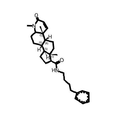 CN1C(=O)C=C[C@@]2(C)C1CC[C@@H]1[C@H]2CC[C@]2(C)C(C(=O)NCCCCc3ccccc3)CC[C@@H]12